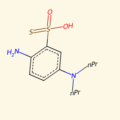 CCCN(CCC)c1ccc(N)c(S(=O)(O)=S)c1